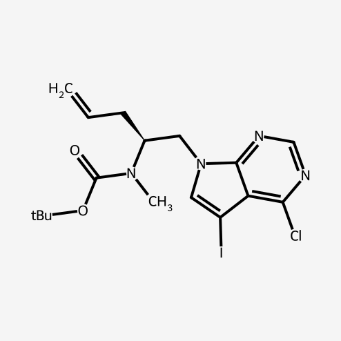 C=CC[C@@H](Cn1cc(I)c2c(Cl)ncnc21)N(C)C(=O)OC(C)(C)C